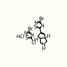 Brc1nsc(C2=C[C@H]3CNC[C@H]3C2)n1.Cl.Clc1nc(Br)ns1